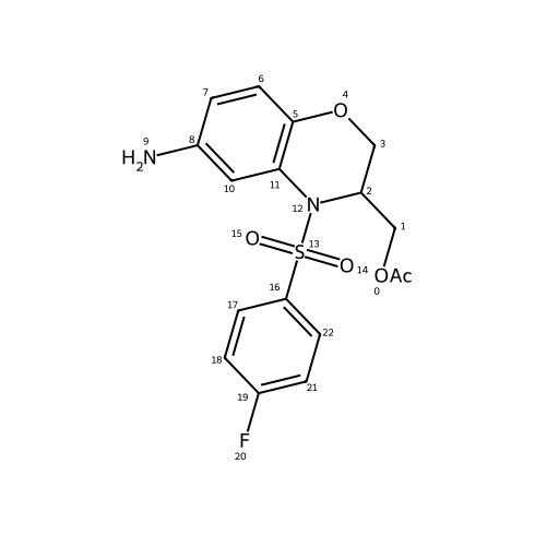 CC(=O)OCC1COc2ccc(N)cc2N1S(=O)(=O)c1ccc(F)cc1